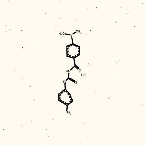 CN(C)c1ccc(C(=O)NC(=S)Nc2ccc(N)cc2)cc1.Cl